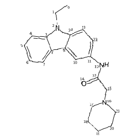 CCn1c2ccccc2c2cc(NC(=O)CN3CCCCC3)ccc21